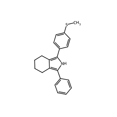 CSc1ccc(-c2[nH]c(-c3ccccc3)c3c2CCCC3)cc1